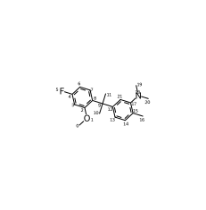 COc1cc(F)ccc1C(C)(C)c1ccc(C)c(N(C)C)c1